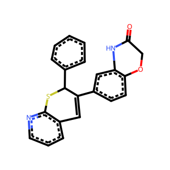 O=C1COc2ccc(C3=Cc4cccnc4SC3c3ccccc3)cc2N1